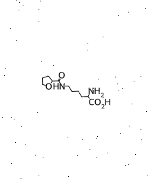 NC(CCCCNC(=O)C1CCCO1)C(=O)O